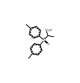 CCOC(=O)C(C)[SH](=O)(c1ccc(C)cc1)c1ccc(C)cc1